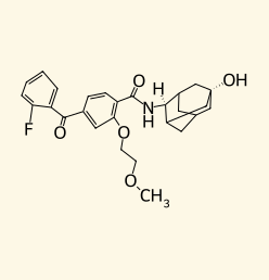 COCCOc1cc(C(=O)c2ccccc2F)ccc1C(=O)N[C@H]1C2CC3CC1C[C@](O)(C3)C2